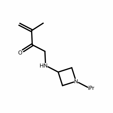 C=C(C)C(=O)CNC1CN(C(C)C)C1